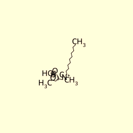 CCCCCCCCCCCC[N+](C)(C)CC(CCC)CS(=O)(=O)O